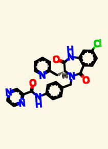 O=C(Nc1ccc(CN2C(=O)c3ccc(Cl)cc3NC(=O)[C@H]2Cc2ccccn2)cc1)c1cnccn1